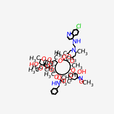 CON=C1C[C@@H](C)O[C@@H](O[C@@H]2[C@@H](C)[C@H](O[C@H]3C[C@H](C)N(CCNc4ccnc5cc(Cl)ccc45)CC(C)O3)[C@@H](C)C(=O)O[C@H]([C@@H](C)CO[C@@H]3O[C@H](C)[C@@H](O)[C@@H](OC)[C@H]3OC)[C@H](C)[C@@H](OC(=O)CC(C)C)[C@@H](C)C(=O)[C@@](C)(OC(=O)NCc3ccccc3)C[C@@H]2C)[C@@H]1O